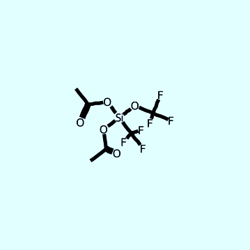 CC(=O)O[Si](OC(C)=O)(OC(F)(F)F)C(F)(F)F